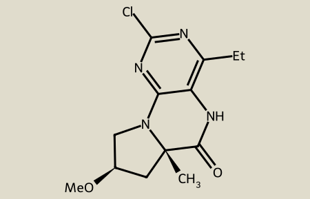 CCc1nc(Cl)nc2c1NC(=O)[C@]1(C)C[C@@H](OC)CN21